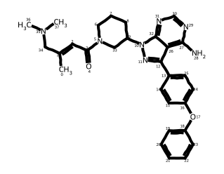 C/C(=C\C(=O)N1CCCC(n2nc(-c3ccc(Oc4ccccc4)cc3)c3c(N)ncnc32)C1)CN(C)C